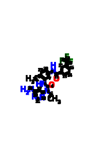 CCN(C(=O)Nc1cc(NC(=O)c2cccc(C(F)(F)F)c2)ccc1C)c1cc(N)ncn1